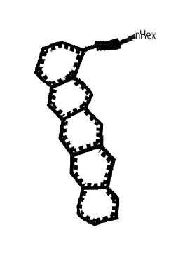 CCCCCCC#Cc1cccc2cc3cc4cc5ccccc5cc4cc3cc12